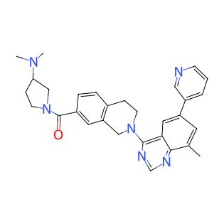 Cc1cc(-c2cccnc2)cc2c(N3CCc4ccc(C(=O)N5CCC(N(C)C)C5)cc4C3)ncnc12